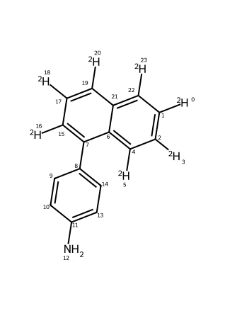 [2H]c1c([2H])c([2H])c2c(-c3ccc(N)cc3)c([2H])c([2H])c([2H])c2c1[2H]